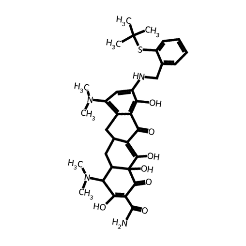 CN(C)c1cc(NCc2ccccc2SC(C)(C)C)c(O)c2c1CC1CC3C(N(C)C)C(O)=C(C(N)=O)C(=O)C3(O)C(O)=C1C2=O